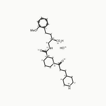 COc1ccccc1CC[C@H](CNC(=O)[C@@H]1CCCN(C(=O)CCC2CCNCC2)C1)C(=O)O.Cl